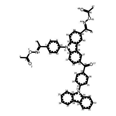 CC(=O)ON=C(C)c1ccc(-n2c3ccc(C(=O)c4ccc(-n5c6ccccc6c6ccccc65)cc4)cc3c3cc(C(C)=NOC(C)=O)ccc32)cc1